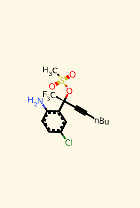 CCCCC#C[C@@](OS(C)(=O)=O)(c1cc(Cl)ccc1N)C(F)(F)F